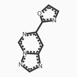 c1coc(-c2cc3ncnn3cn2)n1